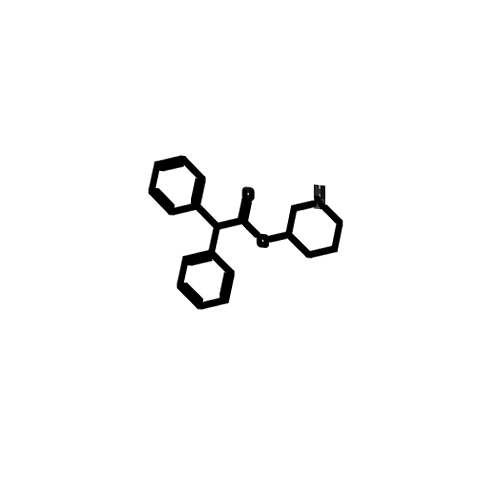 O=C(OC1CCCNC1)C(c1ccccc1)c1ccccc1